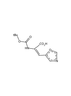 CC(C)(C)OC(=O)N/C(=C/c1cnco1)C(=O)O